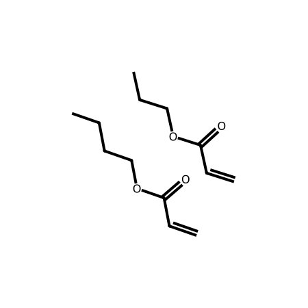 C=CC(=O)OCCC.C=CC(=O)OCCCC